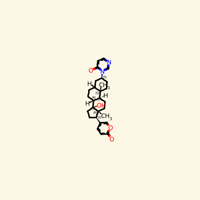 C[C@]12CC[C@H](n3cnccc3=O)C[C@H]1CC[C@@H]1[C@@H]2CC[C@]2(C)[C@@H](c3ccc(=O)oc3)CC[C@]12O